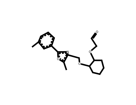 Cc1cccc(-c2nc(COC3CCCCC3OCC=O)c(C)o2)c1